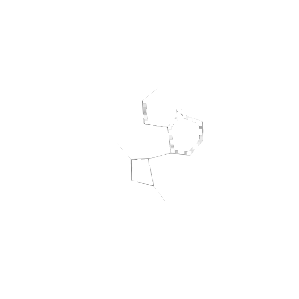 C/C=C\c1ncccc1C1C(C)CC1C